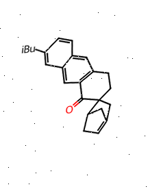 CCC(C)c1ccc2cc3c(cc2c1)C(=O)C1(CC3)CC2=CCC1C2